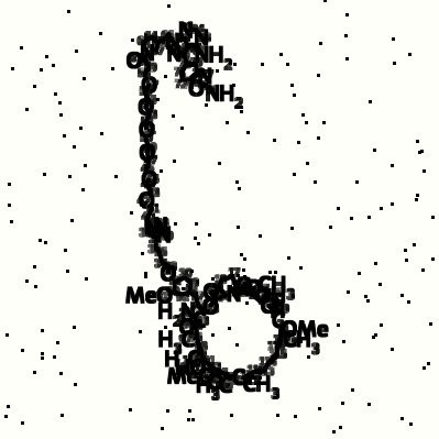 COC1C[C@@H]2CC[C@@H](C)[C@@](O)(O2)C(=O)C(=O)N2CCCCC2C(=O)O[C@H]([C@H](N)CC2CCC(OCCCCc3cn(CCOCCOCCOCCOCCOCCOCCC(=O)N4CCC(Cn5nc(-c6ccc7oc(N)nc7c6)c6c(N)ncnc65)C4)nn3)[C@H](OC)C2)CC(=O)C(C)/C=C(\C)C(O)[C@@H](OC)C(=O)C(C)CC(C)/C=C/C=C/C=C/1C